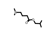 CC(C)COC(=O)CCCN(C)C